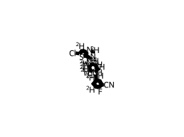 [2H]c1nc(N([2H])C2([2H])C([2H])([2H])C([2H])([2H])N(C([2H])([2H])c3cc([2H])c(F)c(C#N)c3)C([2H])([2H])C2([2H])[2H])c2sc(Cl)c([2H])c2n1